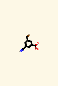 N#Cc1cc(C=S)cc(C(=O)O)c1